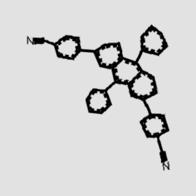 N#Cc1ccc(-c2ccc3c(-c4ccccc4)c4ccc(-c5ccc(C#N)cc5)cc4c(-c4ccccc4)c3c2)cc1